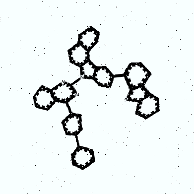 c1ccc(-c2ccc(-c3nc(-n4c5ccc(-c6cccc7c6sc6ccccc67)cc5c5c6ccccc6ccc54)nc4ccccc34)cc2)cc1